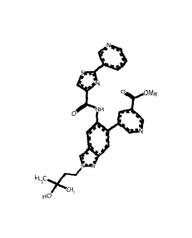 COC(=O)c1cncc(-c2cc3nn(CCC(C)(C)O)cc3cc2NC(=O)c2csc(-c3cccnc3)n2)c1